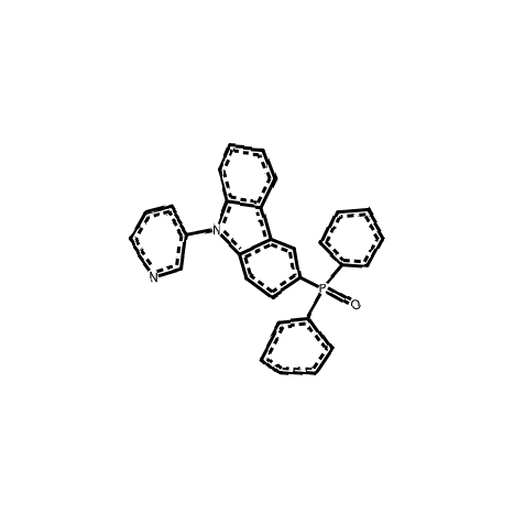 O=P(c1ccccc1)(c1ccccc1)c1ccc2c(c1)c1ccccc1n2-c1cccnc1